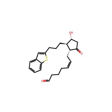 O=CCCC/C=C\C[C@H]1C(=O)C[C@@H](O)[C@@H]1CCCc1cc2ccccc2s1